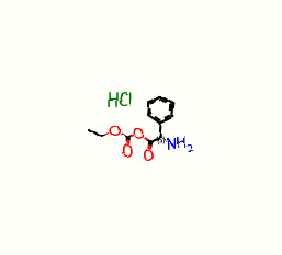 CCOC(=O)OC(=O)[C@@H](N)c1ccccc1.Cl